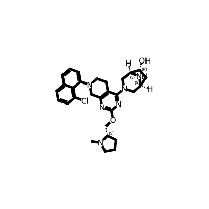 CN1CCC[C@H]1COc1nc2c(c(N3C[C@@H]4C[C@@H](O)[C@H](C3)N4)n1)CCN(c1cccc3cccc(Cl)c13)C2